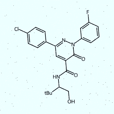 CC(C)(C)C(CO)NC(=O)c1cc(-c2ccc(Cl)cc2)nn(-c2cccc(F)c2)c1=O